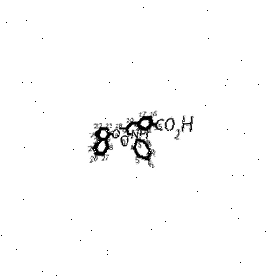 O=C(NC1CCCCC1)C(=Cc1ccc(C(=O)O)cc1)COc1cccc2ccccc12